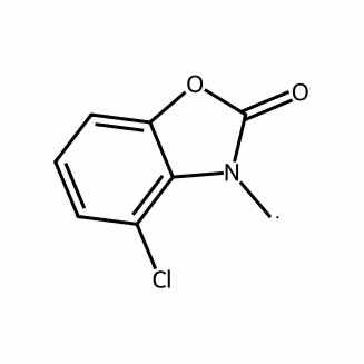 [CH2]n1c(=O)oc2cccc(Cl)c21